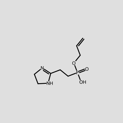 C=CCOP(=O)(O)CCC1=NCCN1